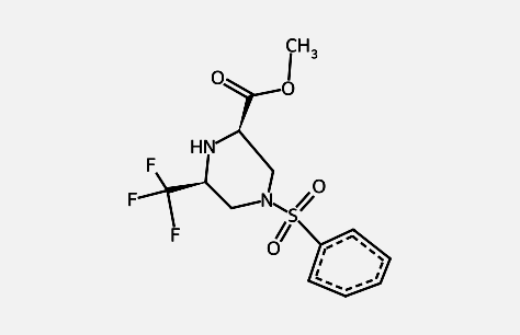 COC(=O)[C@H]1CN(S(=O)(=O)c2ccccc2)C[C@@H](C(F)(F)F)N1